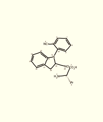 CC(C)[C@H](N)C(=O)O.N#Cc1ccccc1N1c2ccccc2CC1[N+](=O)[O-]